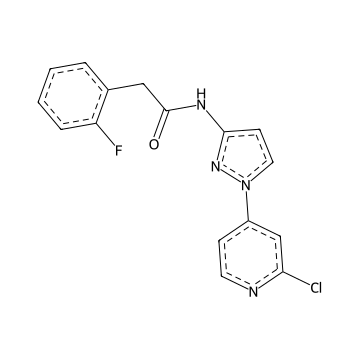 O=C(Cc1ccccc1F)Nc1ccn(-c2ccnc(Cl)c2)n1